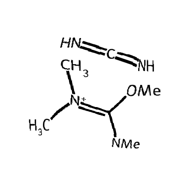 CNC(OC)=[N+](C)C.N=C=N